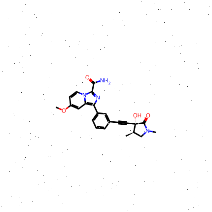 COc1ccn2c(C(N)=O)nc(-c3cccc(C#C[C@@]4(O)C(=O)N(C)C[C@H]4C)c3)c2c1